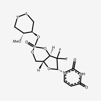 CO[C@@H]1CSSC[C@H]1OP1(=O)OC[C@H]2O[C@@H](n3ccc(=O)[nH]c3=O)C(F)(F)[C@@H]2O1